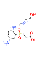 Nc1ccc(NCCNCCO)c(S(=O)(=O)CCC(=O)O)c1